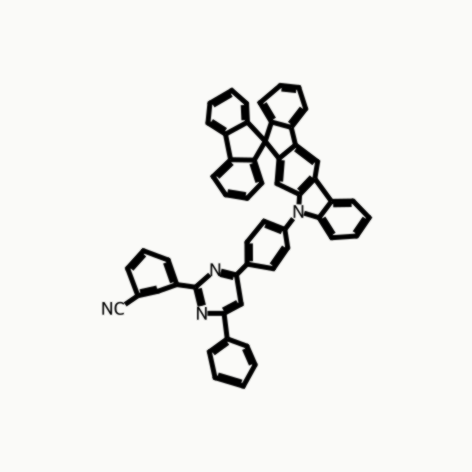 N#Cc1cccc(-c2nc(-c3ccccc3)cc(-c3ccc(-n4c5ccccc5c5cc6c(cc54)C4(c5ccccc5-c5ccccc54)c4ccccc4-6)cc3)n2)c1